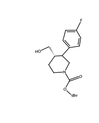 CC(C)(C)OC(=O)N1CC[C@H](CO)C(c2ccc(F)cc2)C1